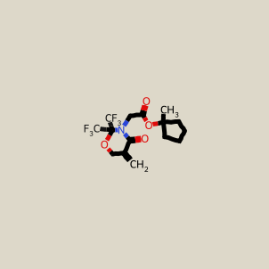 C=C1COC(C(F)(F)F)(C(F)(F)F)N(CC(=O)OC2(C)CCCC2)C1=O